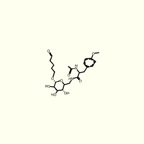 COc1ccc(CC(NC(C)=O)C(=O)NCC2O[C@@H](OCCCCC=O)C(O)C(O)[C@H]2O)cc1